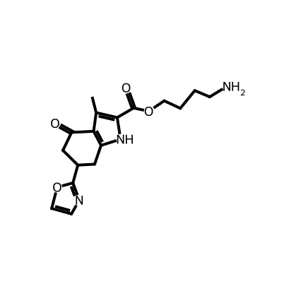 Cc1c(C(=O)OCCCCN)[nH]c2c1C(=O)CC(c1ncco1)C2